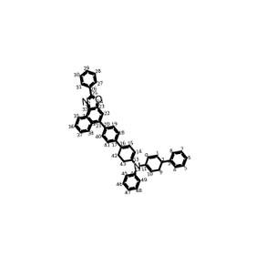 C1=CC(c2ccccc2)CC=C1N(C1=CC=C(c2ccc(-c3cc4oc(-c5ccccc5)nc4c4ccccc34)cc2)CC1)c1ccccc1